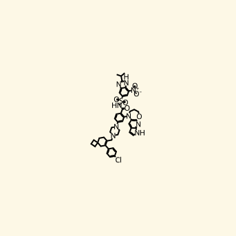 CC(C)c1nc2cc(S(=O)(=O)NC(=O)c3ccc(N4CCN(CC5=C(c6ccc(Cl)cc6)CC6(CCC6)CC5)CC4)cc3N3CCCOc4nc5[nH]ccc5cc43)cc([N+](=O)[O-])c2[nH]1